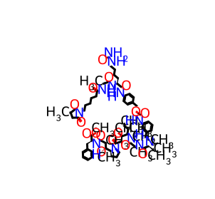 CC[C@H](C)[C@@H]([C@@H](CC(=O)N1CCC[C@H]1[C@H](OC)[C@@H](C)C(=O)N[C@@H](Cc1ccccc1)C(=O)OC)OC)N(C)C(=O)[C@H](C)NC(=O)[C@H](C(C)C)N(C)Cc1cccc(NC(=O)OCc2ccc(NC(=O)[C@H](CCCCNC(N)=O)NC(=O)[C@H](C)NC(=O)CCCCCN3C(=O)CC(C)C3=O)cc2)c1